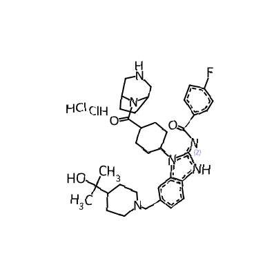 CC(C)(O)C1CCN(Cc2ccc3[nH]/c(=N/C(=O)c4ccc(F)cc4)n(C4CCC(C(=O)N5C6CCC5CNC6)CC4)c3c2)CC1.Cl.Cl